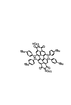 CCCCCCCCN1C(=O)c2cc(Oc3ccc(C(C)(C)C)cc3)c3c4c(Oc5ccc(C(C)(C)C)cc5)cc5c6c(cc(Oc7ccc(C(C)(C)C)cc7)c(c7c(Oc8ccc(C(C)(C)C)cc8)cc(c2c37)C1=O)c64)C(=O)N(CCCCCCCC)C5=O